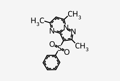 Cc1cc(C)n2nc(C)c(S(=O)(=O)c3ccccc3)c2n1